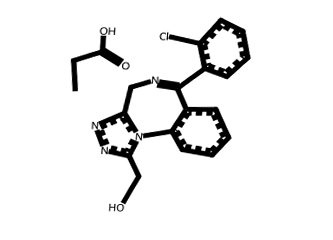 CCC(=O)O.OCc1nnc2n1-c1ccccc1C(c1ccccc1Cl)=NC2